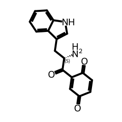 N[C@@H](Cc1c[nH]c2ccccc12)C(=O)C1=CC(=O)C=CC1=O